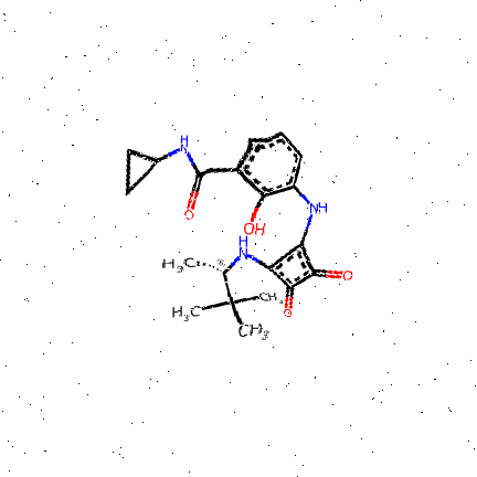 C[C@H](Nc1c(Nc2cccc(C(=O)NC3CC3)c2O)c(=O)c1=O)C(C)(C)C